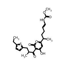 CCc1ccc(CC(C)C(=O)c2c(O)cc(C(C)CC/C=C/NC(=O)OC)oc2=O)s1